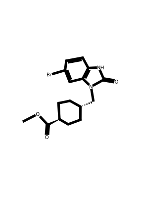 COC(=O)[C@H]1CC[C@H](Cn2c(=O)[nH]c3ccc(Br)cc32)CC1